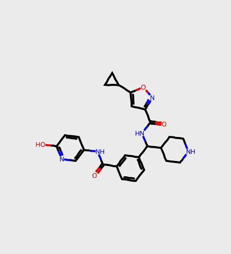 O=C(Nc1ccc(O)nc1)c1cccc(C(NC(=O)c2cc(C3CC3)on2)C2CCNCC2)c1